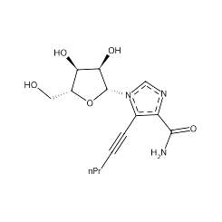 CCCC#Cc1c(C(N)=O)ncn1[C@@H]1O[C@H](CO)[C@@H](O)[C@H]1O